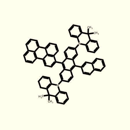 CC1(C)C2=C(C=CCC2)N(c2ccc3c(-c4ccc5ccccc5c4)c4cc(N5c6ccccc6C(C)(C)c6ccccc65)ccc4c(-c4ccc5c6cccc7cccc(c8cccc4c85)c76)c3c2)c2ccccc21